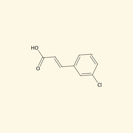 O=C(O)C=Cc1c[c]cc(Cl)c1